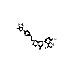 CC1CN(c2ccc(C#N)n3ncc(F)c23)CC2CN(CCc3ccc(N4CC(C)(N)C4)nc3)CCN12